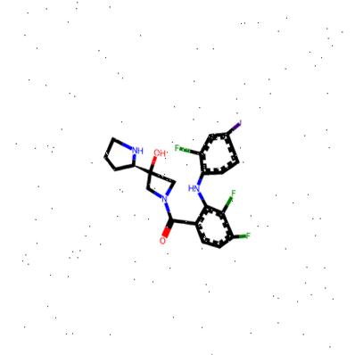 O=C(c1ccc(F)c(F)c1Nc1ccc(I)cc1F)N1CC(O)([C@H]2CCCN2)C1